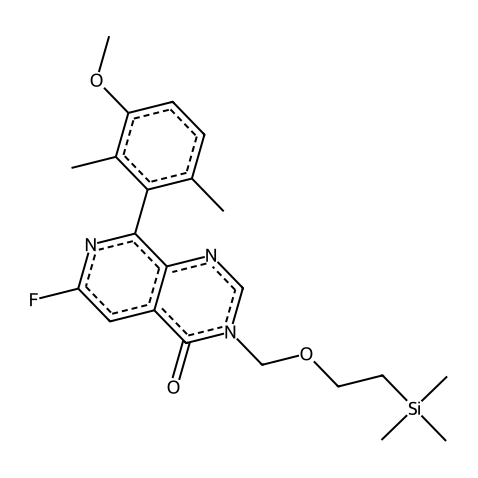 COc1ccc(C)c(-c2nc(F)cc3c(=O)n(COCC[Si](C)(C)C)cnc23)c1C